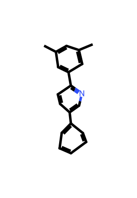 Cc1cc(C)cc(-c2ccc(-c3ccccc3)cn2)c1